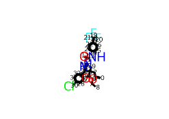 C=CCC1(C(=O)OCC)CN(C(=O)Nc2ccc(C(F)(F)F)cc2)N=C1c1ccc(Cl)cc1